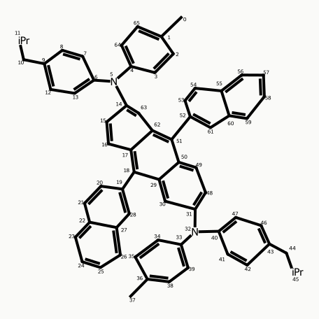 Cc1ccc(N(c2ccc(CC(C)C)cc2)c2ccc3c(-c4ccc5ccccc5c4)c4cc(N(c5ccc(C)cc5)c5ccc(CC(C)C)cc5)ccc4c(-c4ccc5ccccc5c4)c3c2)cc1